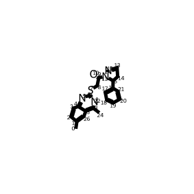 Cc1ccc2nc(SCC(=O)N3N=CCC3c3ccccc3)nc(C)c2c1